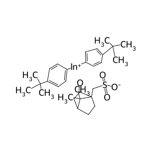 CC(C)(C)c1cc[c]([In+][c]2ccc(C(C)(C)C)cc2)cc1.CC1(C)C2CCC1(CS(=O)(=O)[O-])C(=O)C2